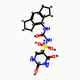 O=C(Nc1c2c(cc3c1CCC3)CCC2)NS(=O)(=O)c1c[nH]c(=O)[nH]c1=O